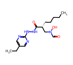 CCCCC[C@H](CN(O)C=O)C(=O)NNc1ncc(CC)cn1